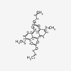 C=CCOC(=O)Oc1c2ccc(CC)cc2c(OC(=O)OCC=C)c2ccc(CC)cc12